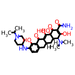 CC(C)N1CCC(Nc2ccc3c(c2O)C(=O)C2=C(O)[C@]4(O)C(=O)C(C(N)=O)=C(O)[C@@H](N(C)C)[C@@H]4C[C@@H]2C3)CC1